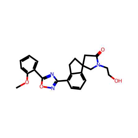 COc1ccccc1-c1nc(-c2cccc3c2CCC32CC(=O)N(CCO)C2)no1